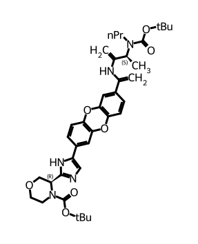 C=C(NC(=C)[C@H](C)N(CCC)C(=O)OC(C)(C)C)c1ccc2c(c1)Oc1ccc(-c3cnc([C@@H]4COCCN4C(=O)OC(C)(C)C)[nH]3)cc1O2